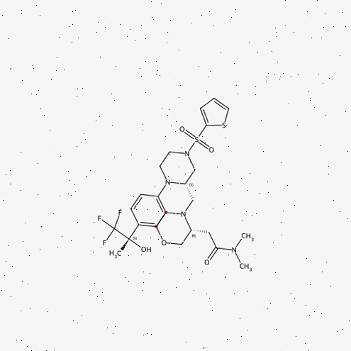 CN(C)C(=O)C[C@@H]1COCCN1C[C@H]1CN(S(=O)(=O)c2cccs2)CCN1c1ccc([C@](C)(O)C(F)(F)F)cc1